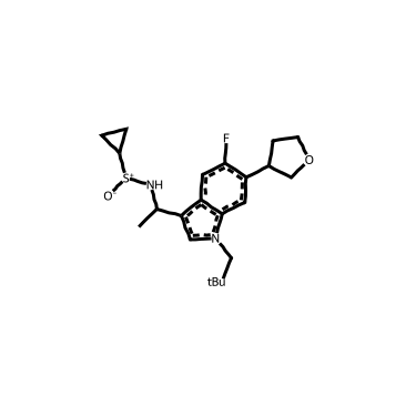 CC(N[S+]([O-])C1CC1)c1cn(CC(C)(C)C)c2cc(C3CCOC3)c(F)cc12